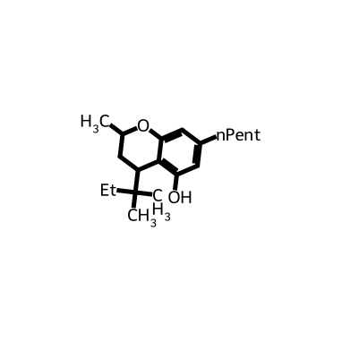 CCCCCc1cc(O)c2c(c1)OC(C)CC2C(C)(C)CC